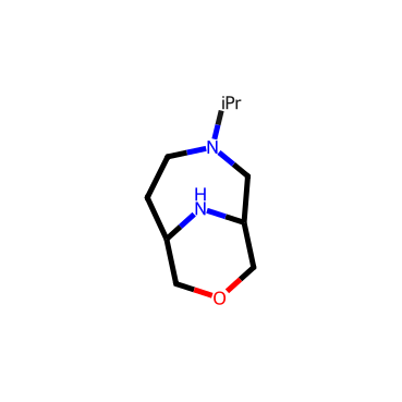 CC(C)N1CCC2COCC(C1)N2